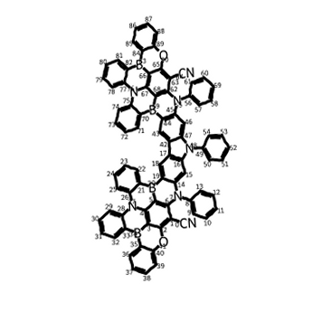 N#Cc1c2c3c4c5c1N(c1ccccc1)c1cc6c(cc1B5c1ccccc1N4c1ccccc1B3c1ccccc1O2)c1cc2c(cc1n6-c1ccccc1)N(c1ccccc1)c1c(C#N)c3c4c5c1B2c1ccccc1N5c1ccccc1B4c1ccccc1O3